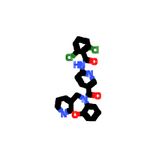 O=C(Nc1ccc(C(=O)N2Cc3cccnc3Oc3ccccc32)cn1)c1c(Cl)cccc1Cl